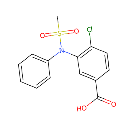 CS(=O)(=O)N(c1ccccc1)c1cc(C(=O)O)ccc1Cl